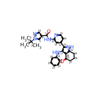 CC(C)(C)n1cc(C(=O)Nc2cc(-c3[nH]c4c(c3Nc3ccccc3)C(=O)CCC4)ccn2)cn1